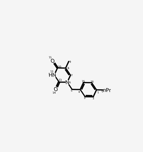 CCCc1ccc(Cn2cc(C)c(=O)[nH]c2=O)cc1